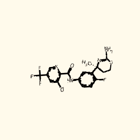 C[C@@]1(c2cc(NC(=O)c3ncc(C(F)(F)F)cc3Cl)ccc2F)CCOC(N)=N1